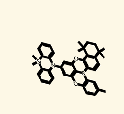 Cc1ccc2c(c1)B1c3ccc4c(c3Oc3cc(N5c6ccccc6[Si](C)(C)c6ccccc65)cc(c31)O2)C(C)(C)CCC4(C)C